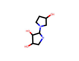 OC1CCN(C2[N]CC(O)C2O)C1